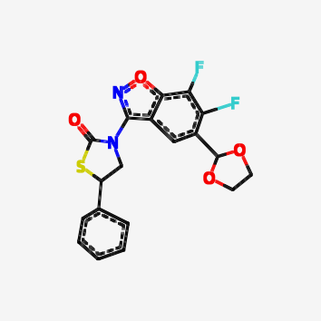 O=C1SC(c2ccccc2)CN1c1noc2c(F)c(F)c(C3OCCO3)cc12